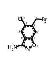 Nc1noc2cc(CBr)c(Cl)cc12